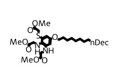 CCCCCCCCCCCCCCCCCCOc1cc(NCC(=O)OC)c(NCC(=O)OC)c(SCC(=O)OC)c1